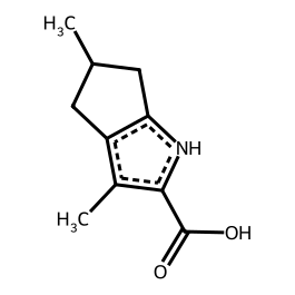 Cc1c(C(=O)O)[nH]c2c1CC(C)C2